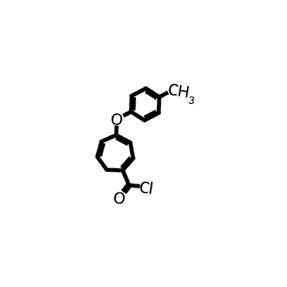 Cc1ccc(OC2=CC=C(C(=O)Cl)CC=C2)cc1